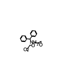 C(OCC1CO1)C1CO1.NC(c1ccccc1)c1ccccc1